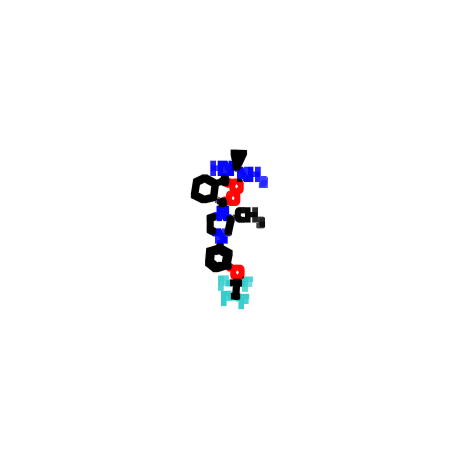 C[C@@H]1CN(c2cccc(OC(F)(F)C(F)F)c2)CCN1C(=O)[C@@H]1CCCC[C@H]1C(=O)NC1(N)CC1